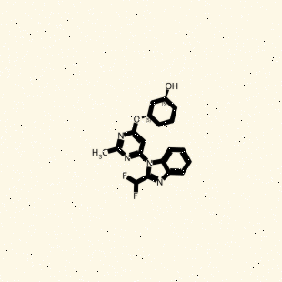 Cc1nc(O[C@H]2CCC[C@H](O)C2)cc(-n2c(C(F)F)nc3ccccc32)n1